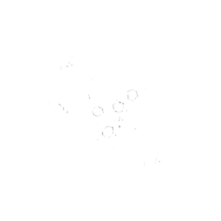 COc1ccc(-c2nc(OCC(COC(=O)CCCON(O)O)OC(=O)CCCON(O)O)c(Oc3ccccc3OC)c(N(COC(=O)OCCCCON(O)O)S(=O)(=O)c3ccc(C(C)(C)C)cn3)n2)cc1